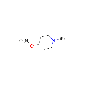 CC(C)N1CCC(O[N+](=O)[O-])CC1